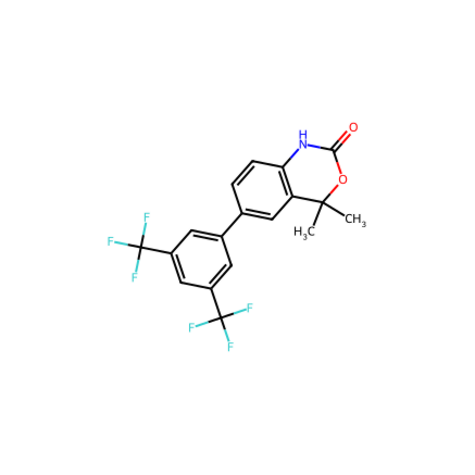 CC1(C)OC(=O)Nc2ccc(-c3cc(C(F)(F)F)cc(C(F)(F)F)c3)cc21